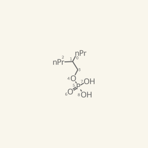 CCCC(CCC)COP(=O)(O)O